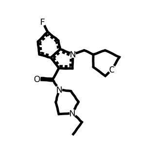 CCN1CCN(C(=O)c2cn(CC3CCCCC3)c3cc(F)ccc23)CC1